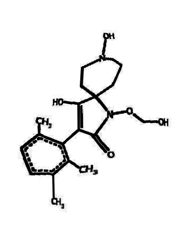 Cc1ccc(C)c(C2=C(O)C3(CCN(O)CC3)N(OCO)C2=O)c1C